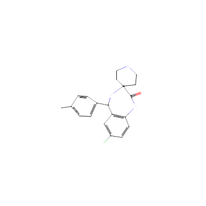 Cc1ccc(C2NC3(CCNCC3)C(=O)Nc3ccc(Cl)cc32)cc1